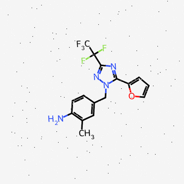 Cc1cc(Cn2nc(C(F)(F)C(F)(F)F)nc2-c2ccco2)ccc1N